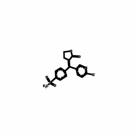 CS(=O)(=O)c1ccc(C(=C2CCOC2=O)c2ccc(Cl)nc2)cc1